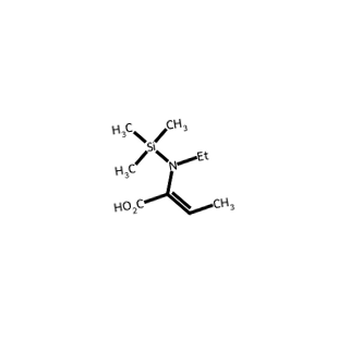 CC=C(C(=O)O)N(CC)[Si](C)(C)C